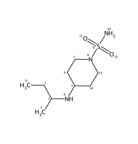 CCC(C)NC1CCN(S(N)(=O)=O)CC1